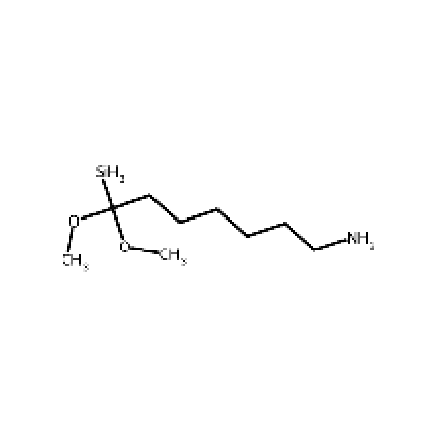 COC([SiH3])(CCCCCCN)OC